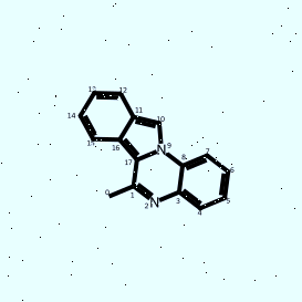 Cc1nc2ccccc2n2cc3ccccc3c12